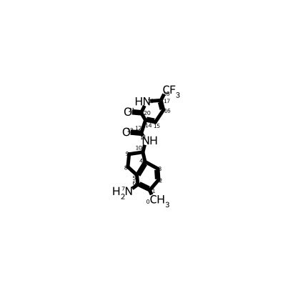 Cc1ccc2c(c1N)CCC2NC(=O)c1ccc(C(F)(F)F)[nH]c1=O